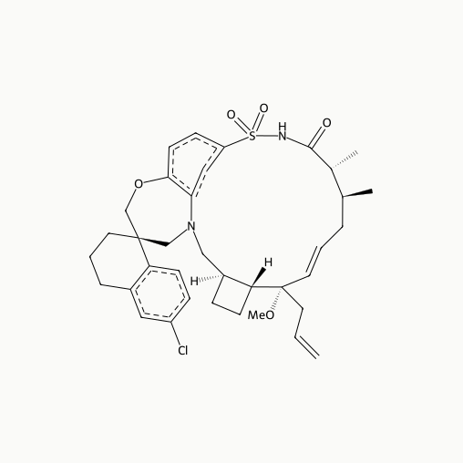 C=CC[C@]1(OC)/C=C/C[C@H](C)[C@@H](C)C(=O)NS(=O)(=O)c2ccc3c(c2)N(C[C@@H]2CC[C@H]21)C[C@@]1(CCCc2cc(Cl)ccc21)CO3